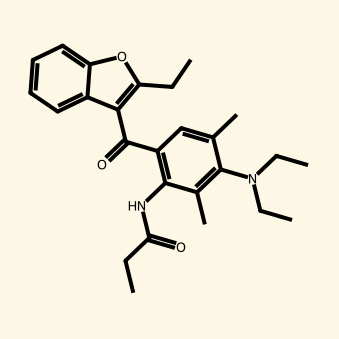 CCC(=O)Nc1c(C(=O)c2c(CC)oc3ccccc23)cc(C)c(N(CC)CC)c1C